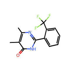 Cc1nc(-c2ccccc2C(F)(F)F)[nH]c(=O)c1C